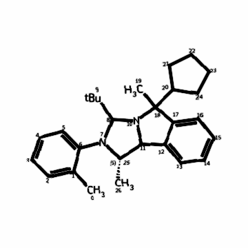 Cc1ccccc1N1C(C(C)(C)C)N2C(c3ccccc3C2(C)C2CCCC2)[C@@H]1C